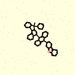 CC1(c2ccccc2)c2ccccc2-c2c1cc(-c1c3ccccc3c(-c3ccc4c(c3)oc3ccccc34)c3ccccc13)c1ccccc21